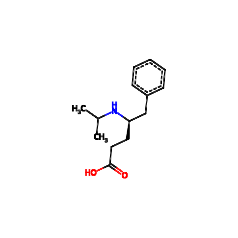 CC(C)N[C@H](CCC(=O)O)Cc1ccccc1